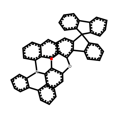 c1ccc(-c2ccccc2N(c2cccc3c2Oc2ccc4c(c2O3)-c2ccccc2C42c3ccccc3-c3ccccc32)c2cccc3ccccc23)cc1